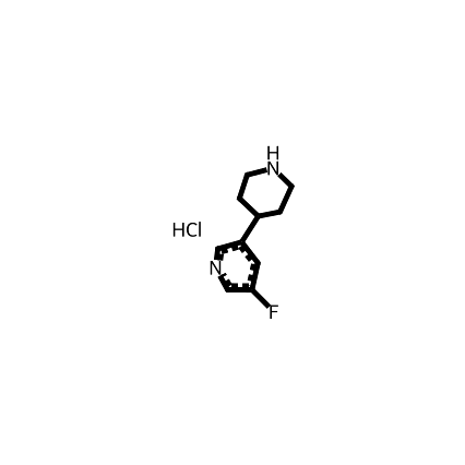 Cl.Fc1cncc(C2CCNCC2)c1